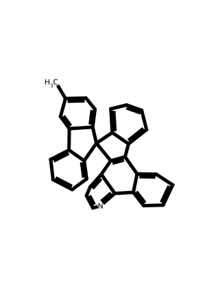 Cc1ccc2c(c1)-c1ccccc1C21c2ccccc2-c2c1c1cccnc1c1ccccc21